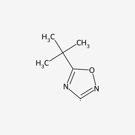 CC(C)(C)c1n[c]no1